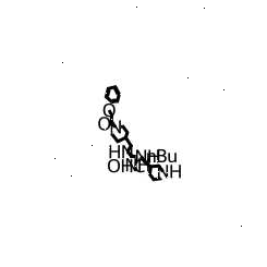 CCCCC(C=O)(NC(=N)NCC1CCN(C(=O)COc2ccccc2)CC1)C1CCCNC1